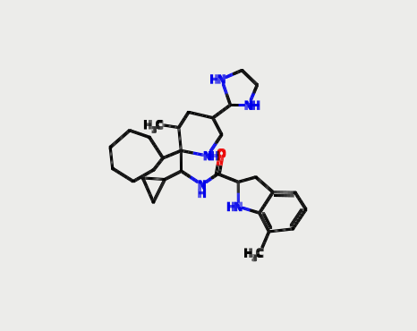 Cc1cccc2c1NC(C(=O)NC(C1CC1)C1(C3CCCCCC3)NCC(C3NCCN3)CC1C)C2